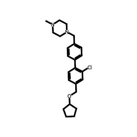 CN1CCN(Cc2ccc(-c3ccc(COC4CCCC4)cc3Cl)cc2)CC1